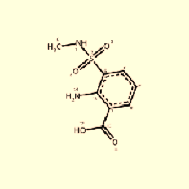 CNS(=O)(=O)c1cccc(C(=O)O)c1N